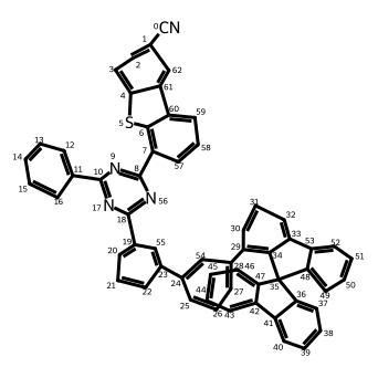 N#Cc1ccc2sc3c(-c4nc(-c5ccccc5)nc(-c5cccc(-c6cccc(-c7cccc8c7C7(c9ccccc9-c9ccccc97)c7ccccc7-8)c6)c5)n4)cccc3c2c1